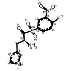 N[C@@H](Cc1c[nH]cn1)C(=O)S(=O)(=O)c1ccc(F)c([N+](=O)[O-])c1